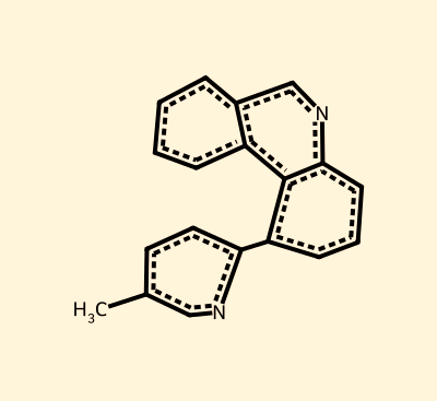 Cc1ccc(-c2cccc3ncc4ccccc4c23)nc1